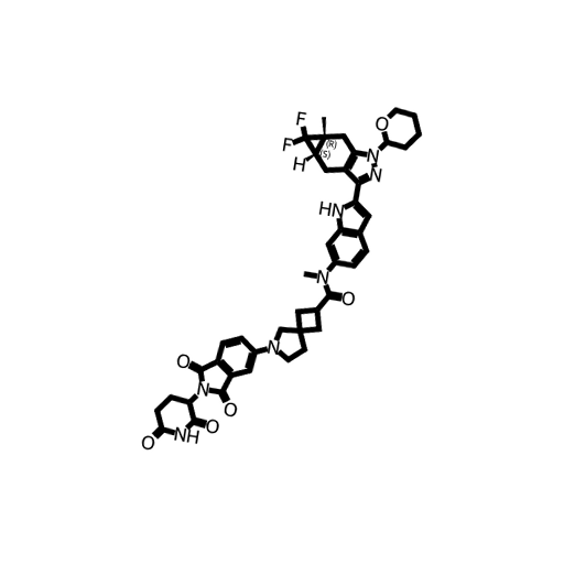 CN(C(=O)C1CC2(CCN(c3ccc4c(c3)C(=O)N(C3CCC(=O)NC3=O)C4=O)C2)C1)c1ccc2cc(-c3nn(C4CCCCO4)c4c3C[C@@H]3C(F)(F)[C@]3(C)C4)[nH]c2c1